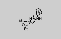 CC[C@@H]1CN(c2ccc(NC3CC4CCC5CC3N45)c(C)n2)C[C@H](CC)O1